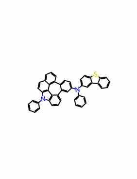 c1ccc(N(c2ccc3c(c2)-c2cccc4c2c2c5c-3cccc5ccc2n4-c2ccccc2)c2ccc3sc4ccccc4c3c2)cc1